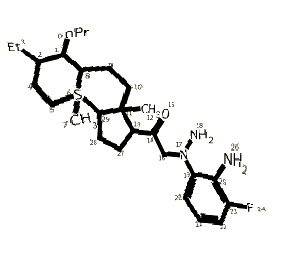 CCCC1C(CC)CCS2(C)C1CCC1(C)C(C(=O)CN(N)c3cccc(F)c3N)CCC12